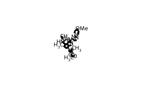 C=CC(=O)NC(C)(C)c1ccc(N2C[C@H](CS(C)(=O)=O)[C@H]2C)c2cnc(Nc3ccnc(N4CCC(OC)CC4)n3)cc12